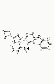 CNc1nccn2c(C3CCC3)nc(-c3ccc(Oc4ccccc4C)cc3)c12